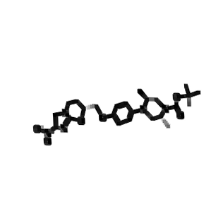 C[C@@H]1CN(c2ccc(OC[C@H]3CCn4cc([N+](=O)[O-])nc4O3)cc2)[C@@H](C)CN1C(=O)OC(C)(C)C